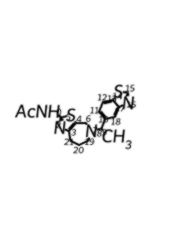 CC(=O)Nc1nc2c(s1)CN(C(C)c1ccc3scnc3c1)CCC2